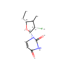 CC[C@H]1O[C@@H](n2ccc(=O)[nH]c2=O)[C@@H](F)C1C